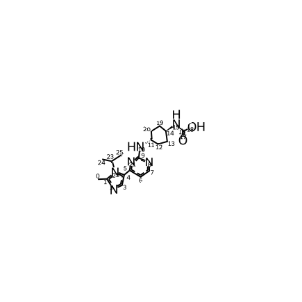 Cc1ncc(-c2ccnc(N[C@H]3CC[C@H](NC(=O)O)CC3)n2)n1C(C)C